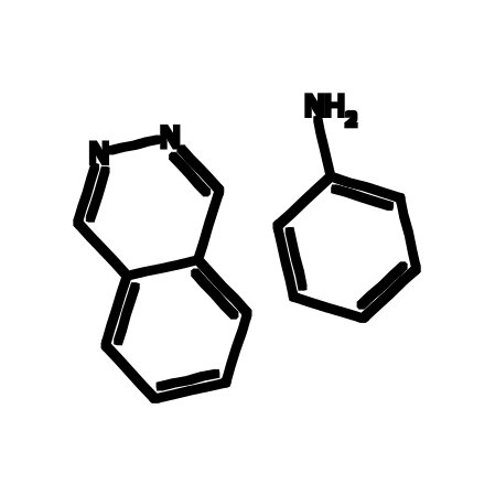 Nc1ccccc1.c1ccc2cnncc2c1